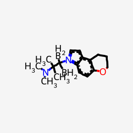 BC(B)(n1ccc2c3c(ccc21)OCCC3)C(C)(C)N(C)C